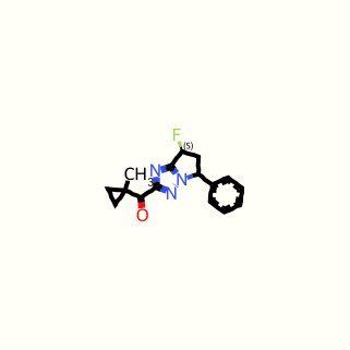 CC1(C(=O)c2nc3n(n2)C(c2ccccc2)C[C@@H]3F)CC1